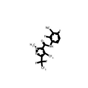 Cn1nc(C(F)(F)C(F)(F)F)c(C(F)(F)F)c1C(=O)Nc1ccc(F)c(C#N)c1F